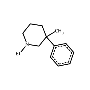 CCN1CCCC(C)(c2ccccc2)C1